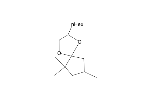 CCCCCCC1COC2(CC(C)CC2(C)C)O1